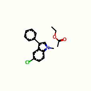 CCOC(C)=O.Cn1cc(-c2ccccc2)c2cc(Cl)ccc21